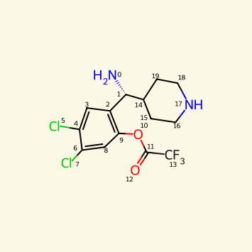 N[C@@H](c1cc(Cl)c(Cl)cc1OC(=O)C(F)(F)F)C1CCNCC1